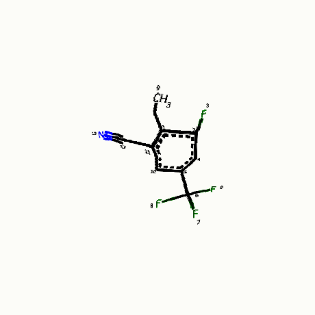 Cc1c(F)cc(C(F)(F)F)cc1C#N